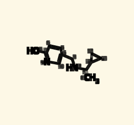 C[C@H](NCc1ccc(O)nc1)C1CC1